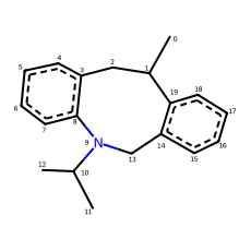 CC1Cc2ccccc2N(C(C)C)Cc2ccccc21